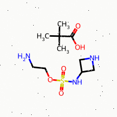 CC(C)(C)C(=O)O.NCCOS(=O)(=O)NC1CNC1